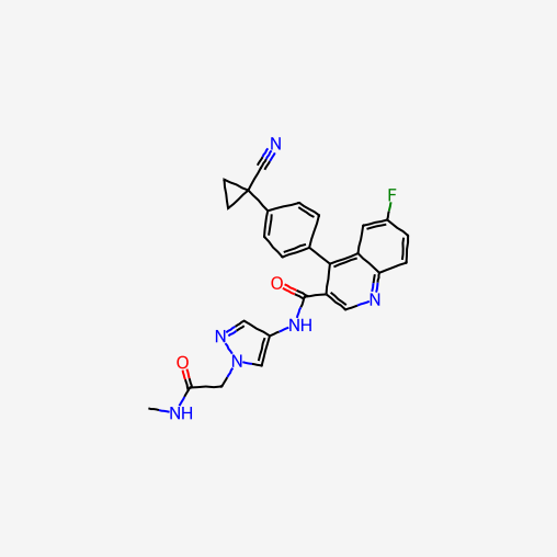 CNC(=O)Cn1cc(NC(=O)c2cnc3ccc(F)cc3c2-c2ccc(C3(C#N)CC3)cc2)cn1